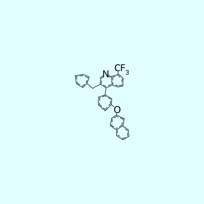 FC(F)(F)c1cccc2c(-c3cccc(Oc4ccc5ccccc5c4)c3)c(Cc3ccccc3)cnc12